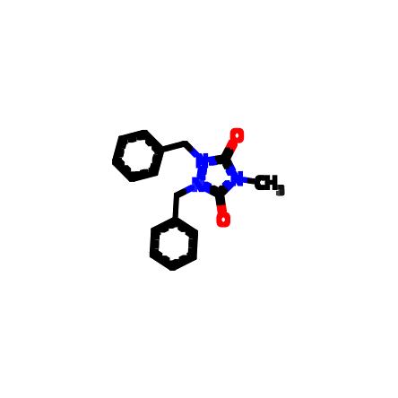 Cn1c(=O)n(Cc2ccccc2)n(Cc2ccccc2)c1=O